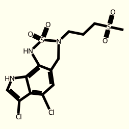 CS(=O)(=O)CCCN1Cc2cc(Cl)c3c(Cl)c[nH]c3c2NS1(=O)=O